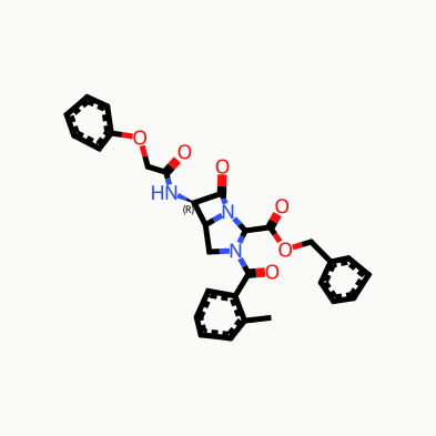 Cc1ccccc1C(=O)N1CC2[C@@H](NC(=O)COc3ccccc3)C(=O)N2C1C(=O)OCc1ccccc1